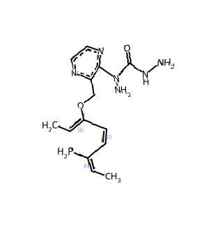 C/C=C(/C=C\C(P)=C/C)OCc1nccnc1N(N)C(=O)NN